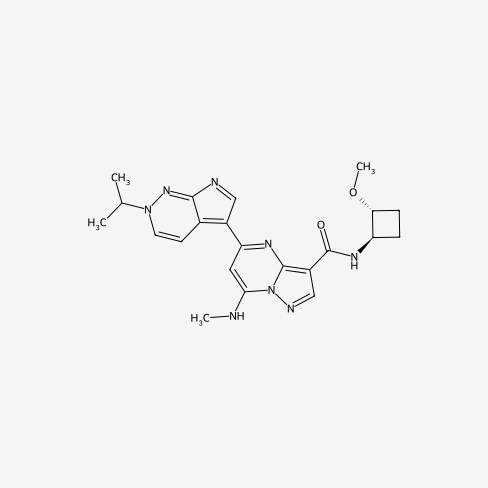 CNc1cc(-c2cnc3nn(C(C)C)ccc2-3)nc2c(C(=O)N[C@@H]3CC[C@H]3OC)cnn12